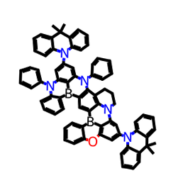 CC1(C)c2ccccc2N(c2cc3c4c(c2)N2CCCc5c2c(cc2c5N(c5ccccc5)c5cc(N6c7ccccc7C(C)(C)c7ccccc76)cc6c5B2c2ccccc2N6c2ccccc2)B4c2ccccc2O3)c2ccccc21